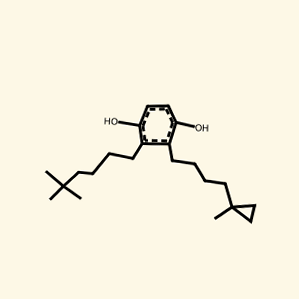 CC(C)(C)CCCCc1c(O)ccc(O)c1CCCCC1(C)CC1